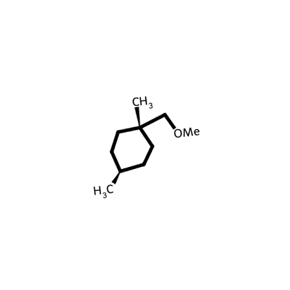 COC[C@]1(C)CC[C@@H](C)CC1